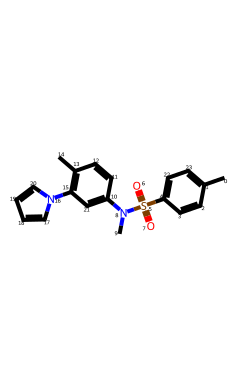 Cc1ccc(S(=O)(=O)N(C)c2ccc(C)c(-n3cccc3)c2)cc1